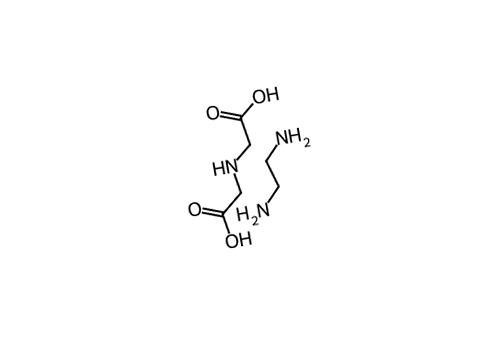 NCCN.O=C(O)CNCC(=O)O